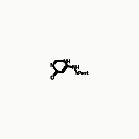 CCCCCNc1cc(=O)nc[nH]1